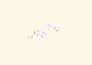 Cc1cc(-c2ccco2)cc2c3c(N)ncnc3n(CC(=O)N3[C@H](C)CC[C@H]3C(=O)Nc3cccc(Br)n3)c12